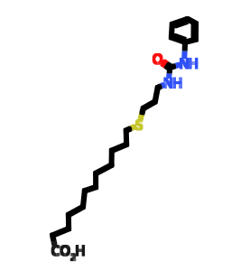 O=C(O)CCCCCCCCCCCSCCCNC(=O)Nc1ccccc1